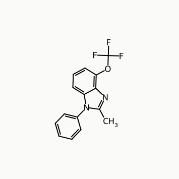 Cc1nc2c(OC(F)(F)F)cccc2n1-c1ccccc1